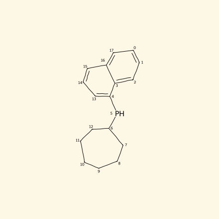 c1ccc2c(PC3CCCCCC3)cccc2c1